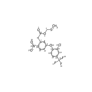 CSCOC(=O)Cc1cc(Oc2ccc(C(F)(F)F)cc2Cl)ccc1[N+](=O)[O-]